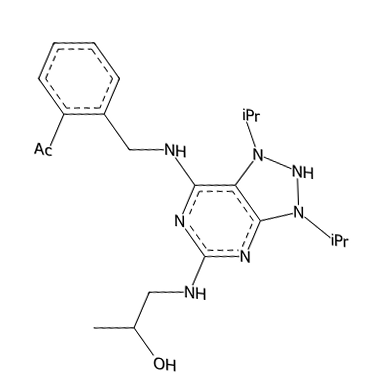 CC(=O)c1ccccc1CNc1nc(NCC(C)O)nc2c1N(C(C)C)NN2C(C)C